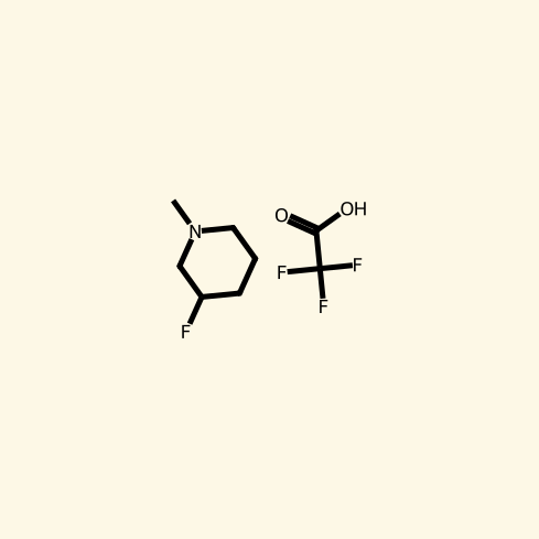 CN1CCCC(F)C1.O=C(O)C(F)(F)F